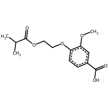 COc1cc(C(=O)O)ccc1OCCOC(=O)C(C)C